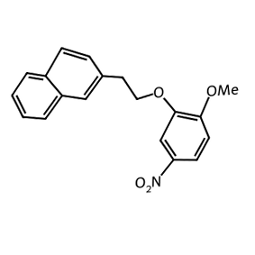 COc1ccc([N+](=O)[O-])cc1OCCc1ccc2ccccc2c1